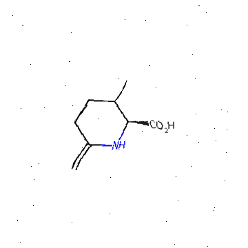 C=C1CCC(C)[C@@H](C(=O)O)N1